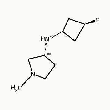 CN1CC[C@@H](N[C@H]2C[C@H](F)C2)C1